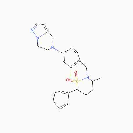 CC1CCC(c2ccccc2)S(=O)(=O)N1Cc1ccc(N2CCn3nccc3C2)cc1F